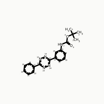 CC(C)(C)OC(=O)Nc1cccc(-c2nnc(-c3ccccc3)nn2)c1